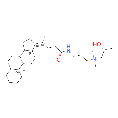 CC(O)C[N+](C)(C)CCCNC(=O)CC[C@@H](C)[C@H]1CCC2C3CCC4CCCC[C@]4(C)C3CC[C@@]21C